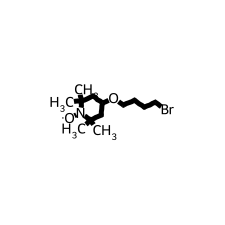 CC1(C)CC(OCCCCBr)CC(C)(C)N1[O]